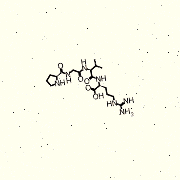 CC(C)[C@H](NC(=O)CNC(=O)[C@@H]1CCCN1)C(=O)N[C@@H](CCCNC(=N)N)C(=O)O